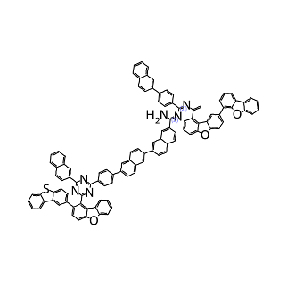 C=C(/N=C(\N=C(/N)C1=CC2C=C(c3ccc4cc(-c5ccc(-c6nc(-c7ccc8ccccc8c7)nc(-c7c(-c8ccc9sc%10ccccc%10c9c8)ccc8oc9ccccc9c78)n6)cc5)ccc4c3)C=CC2C=C1)c1ccc(-c2ccc3ccccc3c2)cc1)c1cccc2oc3ccc(-c4cccc5c4oc4ccccc45)cc3c12